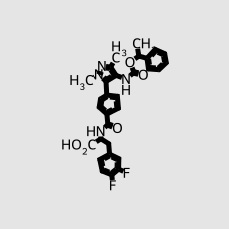 Cc1nn(C)c(-c2ccc(C(=O)NC(Cc3ccc(F)c(F)c3)C(=O)O)cc2)c1NC(=O)OC(C)c1ccccc1